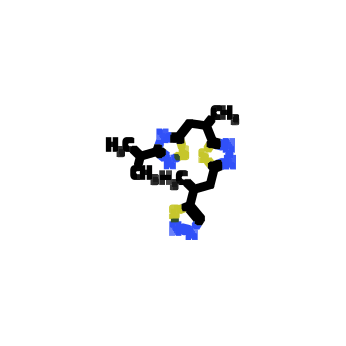 CC(C)c1nsc(CC(C)c2nnc(CC(C)c3cnns3)s2)n1